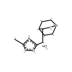 Cc1noc(CC2CN3CCC2CC3)n1.Cl